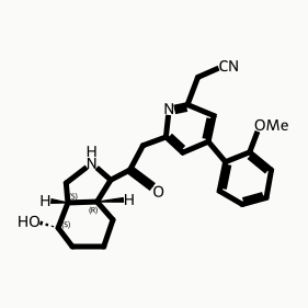 COc1ccccc1-c1cc(CC#N)nc(CC(=O)C2NC[C@H]3[C@@H](O)CCC[C@@H]23)c1